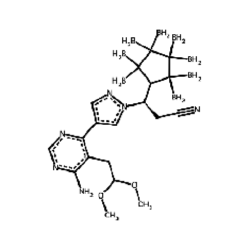 BC1(B)C([C@@H](CC#N)n2cc(-c3ncnc(N)c3CC(OC)OC)cn2)C(B)(B)C(B)(B)C1(B)B